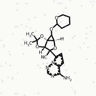 CC1(C)O[C@H]2C(C#N)(c3ccc4c(N)ncnn34)O[C@@H]3C(OC4CCCCO4)[C@@]32O1